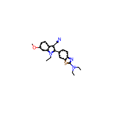 CCN(CC)c1nc2ccc(-c3c(C#N)c4ccc(OC)cc4n3CC)cc2s1